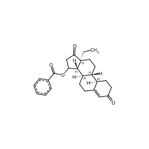 CC[C@]12CC[C@H]3[C@@H](CCC4=CC(=O)CC[C@@H]43)[C@@H]1C(OC(=O)c1ccccc1)CC2=O